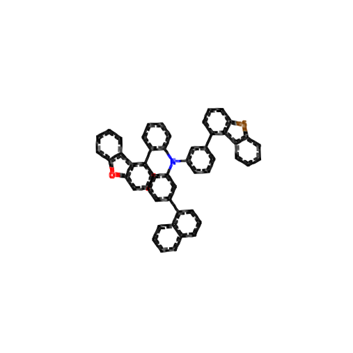 c1cc(-c2cccc3ccccc23)cc(N(c2cccc(-c3cccc4sc5ccccc5c34)c2)c2ccccc2-c2cccc3oc4ccccc4c23)c1